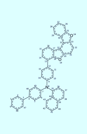 c1ccc(-c2ccc(N(c3ccc(-c4cccc5c4oc4ccc6oc7ccccc7c6c45)cc3)c3cccc4ccccc34)cc2)cc1